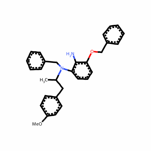 COc1ccc(CC(C)N(Cc2ccccc2)c2cccc(OCc3ccccc3)c2N)cc1